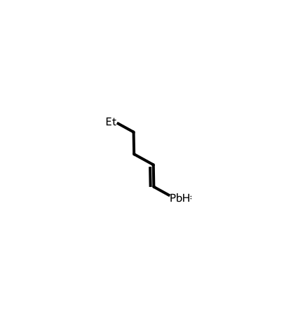 CCCCC=[CH][PbH]